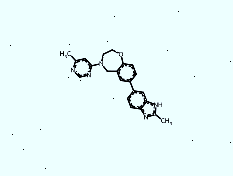 Cc1cc(N2CCOc3ccc(-c4ccc5nc(C)[nH]c5c4)cc3C2)ncn1